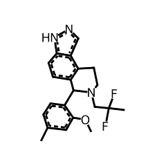 COc1cc(C)ccc1C1c2ccc3[nH]ncc3c2CCN1CC(C)(F)F